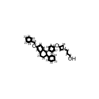 OCCCN1CC(Oc2ccc([C@@H]3c4ccc(OCc5ccccc5)cc4CCC3c3ccccc3)cc2)C1